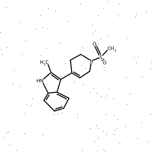 Cc1[nH]c2ccccc2c1C1=CCN(S(C)(=O)=O)CC1